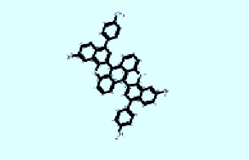 Cc1ccc(-c2cc3c(sc4cccc5c4c3c3cccc4sc6c7cc(Br)ccc7c(-c7ccc(C)cc7)cc6c5c43)c3cc(Br)ccc23)cc1